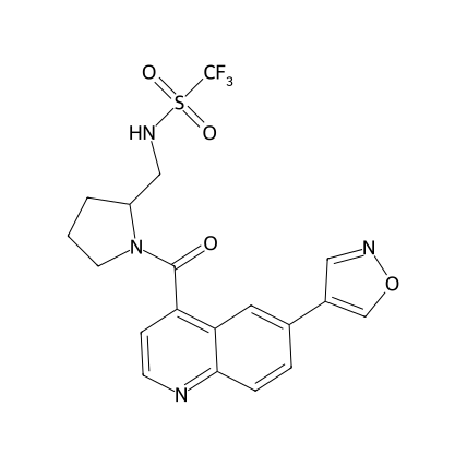 O=C(c1ccnc2ccc(-c3cnoc3)cc12)N1CCCC1CNS(=O)(=O)C(F)(F)F